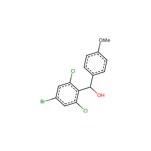 COc1ccc(C(O)c2c(Cl)cc(Br)cc2Cl)cc1